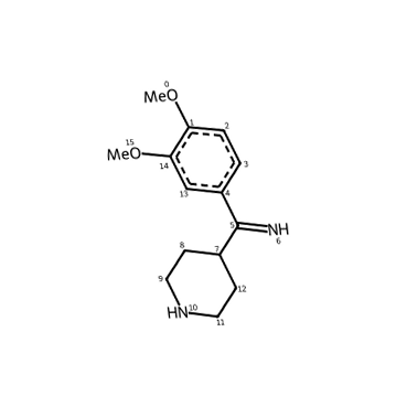 COc1ccc(C(=N)C2CCNCC2)cc1OC